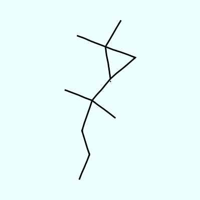 CCCC(C)(C)[C]1CC1(C)C